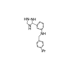 CC(C)c1ccc(CNc2cccc(C3NCNN3)c2)cc1